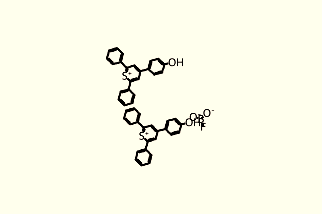 Oc1ccc(-c2cc(-c3ccccc3)[s+]c(-c3ccccc3)c2)cc1.Oc1ccc(-c2cc(-c3ccccc3)[s+]c(-c3ccccc3)c2)cc1.[O-]B([O-])F